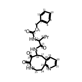 CC(C)C(NC(=O)OCc1ccccc1)C(=O)NC1Cc2cccnc2CCNC(=O)C1=O